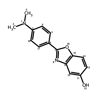 CN(C)c1ccc(-c2nc3cc(O)ccc3o2)cc1